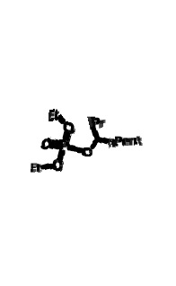 CCCCCC(OP(=O)(OCC)OCC)C(C)C